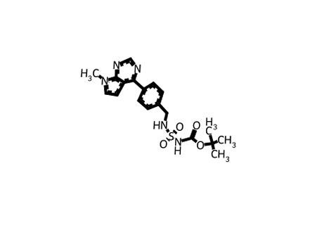 Cn1ccc2c(-c3ccc(CNS(=O)(=O)NC(=O)OC(C)(C)C)cc3)ncnc21